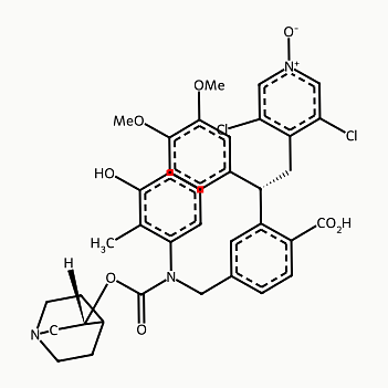 COc1ccc([C@H](Cc2c(Cl)c[n+]([O-])cc2Cl)c2cc(CN(C(=O)O[C@H]3CN4CCC3CC4)c3cccc(O)c3C)ccc2C(=O)O)cc1OC